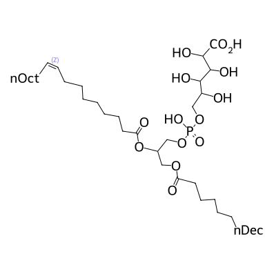 CCCCCCCC/C=C\CCCCCCCC(=O)OC(COC(=O)CCCCCCCCCCCCCCC)COP(=O)(O)OCC(O)C(O)C(O)C(O)C(=O)O